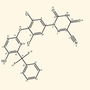 N#Cc1nn(-c2cc(Cl)c(Oc3ncc(O)c(C(F)(F)c4ccccc4)n3)c(Cl)c2)c(=O)[nH]c1=O